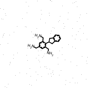 NCc1cc(CN)c(C2Cc3ccccc3C2)c(CN)c1